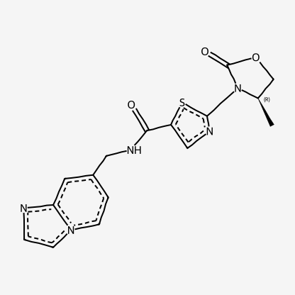 C[C@@H]1COC(=O)N1c1ncc(C(=O)NCc2ccn3ccnc3c2)s1